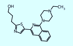 CCN1CCN(c2nc(-c3cnc(CCCO)s3)cc3ccccc23)CC1